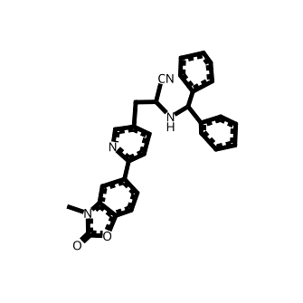 Cn1c(=O)oc2ccc(-c3ccc(CC(C#N)NC(c4ccccc4)c4ccccc4)cn3)cc21